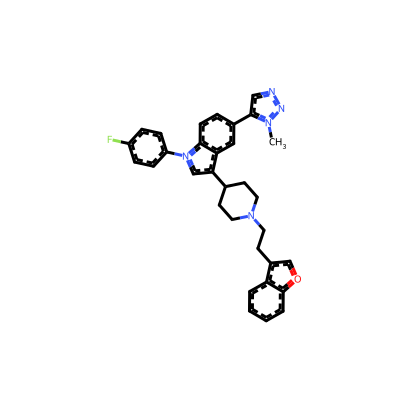 Cn1nncc1-c1ccc2c(c1)c(C1CCN(CCc3coc4ccccc34)CC1)cn2-c1ccc(F)cc1